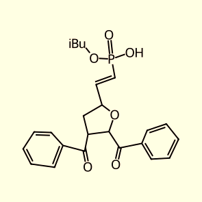 CCC(C)OP(=O)(O)C=CC1CC(C(=O)c2ccccc2)C(C(=O)c2ccccc2)O1